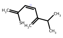 C=C(S)/C=C\C(=C)C(C)C